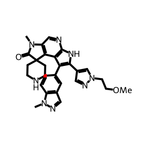 COCCn1cc(-c2[nH]c3ncc4c(c3c2-c2ccc3c(cnn3C)c2)C2(CCNCC2)C(=O)N4C)cn1